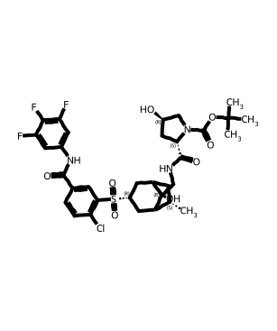 C[C@H]1CC2C[C@@H](S(=O)(=O)c3cc(C(=O)Nc4cc(F)c(F)c(F)c4)ccc3Cl)CC1[C@@]2(O)CNC(=O)[C@@H]1C[C@@H](O)CN1C(=O)OC(C)(C)C